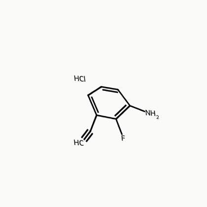 C#Cc1cccc(N)c1F.Cl